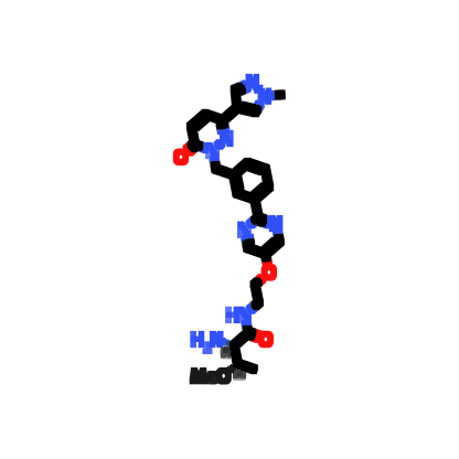 CO[C@@H](C)[C@H](N)C(=O)NCCOc1cnc(-c2cccc(Cn3nc(-c4cnn(C)c4)ccc3=O)c2)nc1